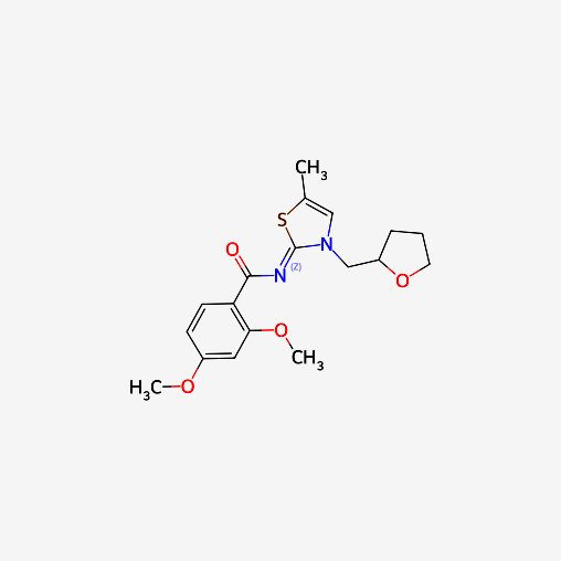 COc1ccc(C(=O)/N=c2\sc(C)cn2CC2CCCO2)c(OC)c1